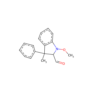 CON1c2ccccc2C(C)(c2ccccc2)C1C=O